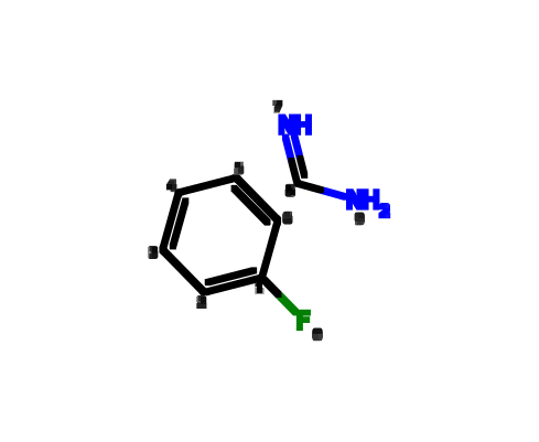 Fc1ccccc1.N=CN